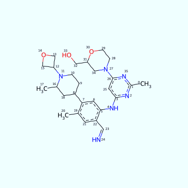 Cc1nc(Nc2cc(C3CCN(C4COC4)C(C)C3)c(C)cc2C=N)cc(N2CCOC(CO)C2)n1